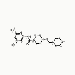 Cc1cc(C)nc(NC(=S)N2CCN(CCN3CCOCC3)CC2)c1